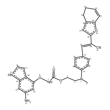 CN(CCOC(=O)NOc1nc(N)nc2[nH]cnc12)c1ccc(/C=C(\C#N)c2nc3c(o2)C=CCC3)cc1